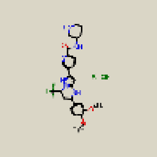 COc1ccc(C2CC(C(F)(F)F)n3nc(-c4ccc(C(=O)NC5CCCNC5)nc4)cc3N2)cc1OC.Cl.Cl